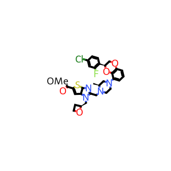 COC(=O)C1=CC2C(N=C(CN3CCN(c4cccc5c4O[C@@H](c4ccc(Cl)cc4F)CO5)C[C@@H]3C)N2C[C@@H]2CCO2)S1